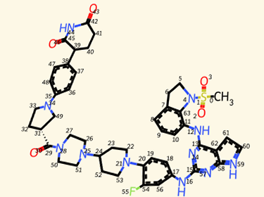 CS(=O)(=O)N1CCc2cccc(Nc3nc(Nc4ccc(N5CCC(N6CCN(C(=O)[C@@H]7CCN(c8ccc(C9CCC(=O)NC9=O)cc8)C7)CC6)CC5)c(F)c4)nc4[nH]ccc34)c21